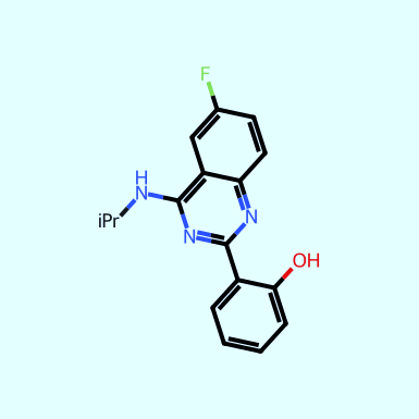 CC(C)Nc1nc(-c2ccccc2O)nc2ccc(F)cc12